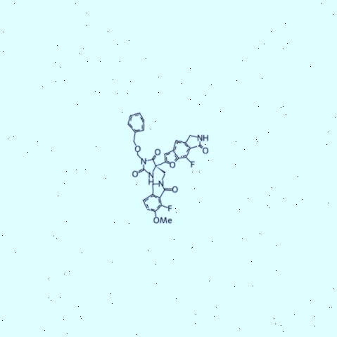 COc1ccc2c(c1F)C(=O)N(C[C@@]1(c3cc4cc5c(c(F)c4o3)C(=O)NC5)NC(=O)N(COCc3ccccc3)C1=O)C2